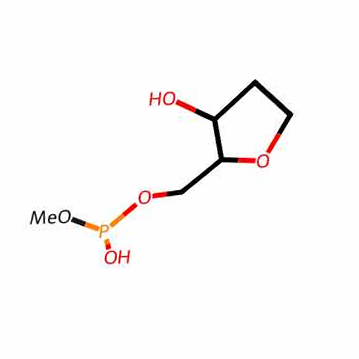 COP(O)OCC1OCCC1O